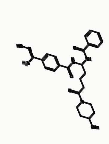 CC(=O)OC1CCN(C(=O)CCCC(NC(=O)c2ccccc2)NC(=O)c2ccc(C(N)=NO)cc2)CC1